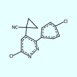 N#CC1(c2cc(Cl)nnc2-c2ccc(Cl)cc2)CC1